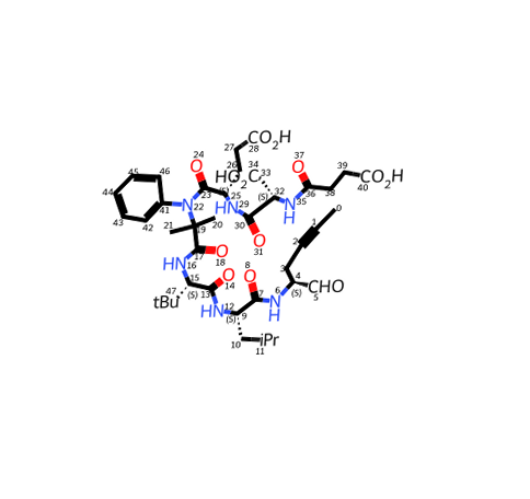 CC#CC[C@@H](C=O)NC(=O)[C@H](CC(C)C)NC(=O)[C@@H](NC(=O)C(C)(C)N(C(=O)[C@H](CCC(=O)O)NC(=O)[C@H](CC(=O)O)NC(=O)CCC(=O)O)c1ccccc1)C(C)(C)C